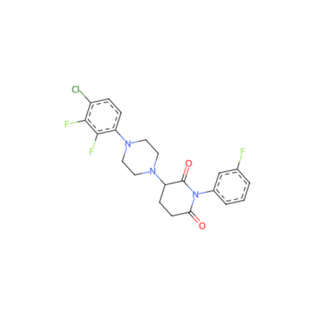 O=C1CCC(N2CCN(c3ccc(Cl)c(F)c3F)CC2)C(=O)N1c1cccc(F)c1